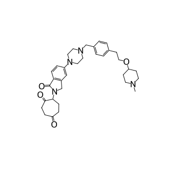 CN1CCC(OCCc2ccc(CN3CCN(c4ccc5c(c4)CN(C4CCC(=O)CCC4=O)C5=O)CC3)cc2)CC1